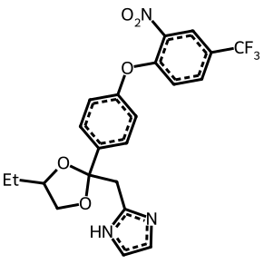 CCC1COC(Cc2ncc[nH]2)(c2ccc(Oc3ccc(C(F)(F)F)cc3[N+](=O)[O-])cc2)O1